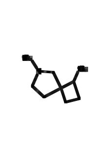 CC(C)(C)C1CCC12CCN(C(C)(C)C)C2